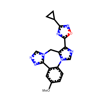 COc1ccc2c(c1)-c1nncn1Cc1c(-c3nc(C4CC4)no3)ncn1-2